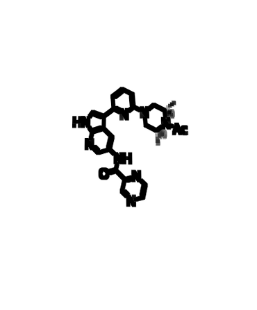 CC(=O)N1[C@H](C)CN(c2cccc(-c3c[nH]c4ncc(NC(=O)c5cnccn5)cc34)n2)C[C@@H]1C